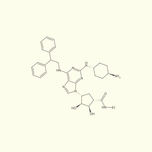 CCNC(=O)[C@H]1C[C@@H](n2cnc3c(NCC(c4ccccc4)c4ccccc4)nc(N[C@H]4CC[C@H](N)CC4)nc32)[C@H](O)[C@@H]1O